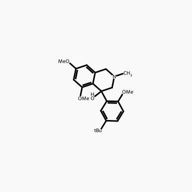 COc1cc2c(c(OC)c1)C(O)(c1cc(C(C)(C)C)ccc1OC)CN(C)C2